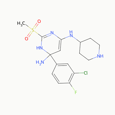 CS(=O)(=O)C1=NC(NC2CCNCC2)=CC(N)(c2ccc(F)c(Cl)c2)N1